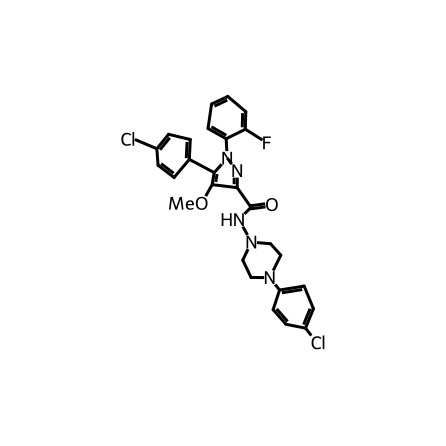 COc1c(C(=O)NN2CCN(c3ccc(Cl)cc3)CC2)nn(-c2ccccc2F)c1-c1ccc(Cl)cc1